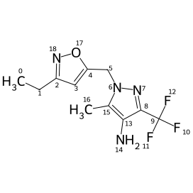 CCc1cc(Cn2nc(C(F)(F)F)c(N)c2C)on1